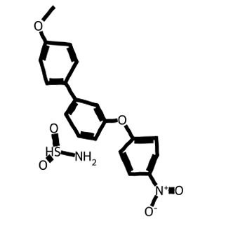 COc1ccc(-c2cccc(Oc3ccc([N+](=O)[O-])cc3)c2)cc1.N[SH](=O)=O